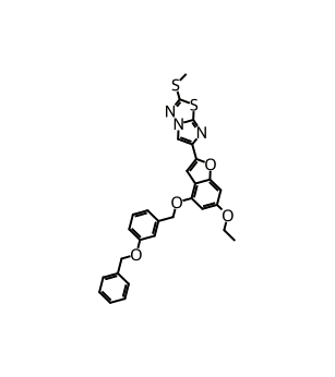 CCOc1cc(OCc2cccc(OCc3ccccc3)c2)c2cc(-c3cn4nc(SC)sc4n3)oc2c1